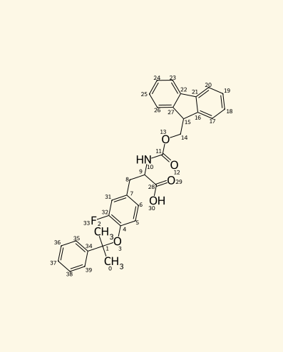 CC(C)(Oc1ccc(CC(NC(=O)OCC2c3ccccc3-c3ccccc32)C(=O)O)cc1F)c1ccccc1